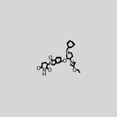 CCOC1CN(C2CCN(Cc3ccccc3)CC2Oc2ccc3c(c2)CN(C2CCC(=O)NC2=O)C3=O)C1